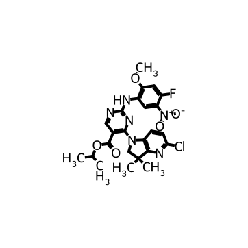 COc1cc(F)c([N+](=O)[O-])cc1Nc1ncc(C(=O)OC(C)C)c(N2CC(C)(C)c3nc(Cl)ccc32)n1